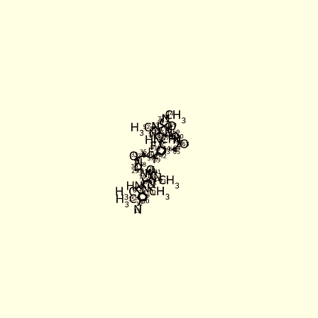 Cc1nc(N[C@H](C)c2cccc(C#N)c2C)c2c(n1)C1(CCN(C)C1)C(=O)N([C@@H]1CCN(C(=O)C3CC3CC(F)(F)c3cccc([C@@H](C)Nc4nc(C)nc5c4CN([C@@H]4CCN(C(=O)C6CC6)C4)C(=O)C54CCN(C)C4)c3F)C1)C2